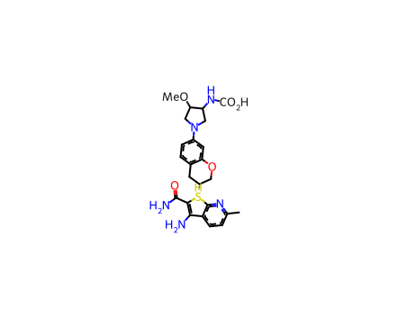 COC1CN(c2ccc3c(c2)OC[C@H]([SH]2C(C(N)=O)=C(N)c4ccc(C)nc42)C3)CC1NC(=O)O